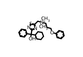 C[N+](C)(CCCOc1ccccc1)Cc1nc(C(O)(c2ccccc2)C2CCCCC2)ns1